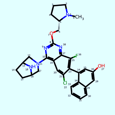 CN1CCC[C@H]1COc1nc(N2CC3CCC(C2)N3)c2cc(Cl)c(-c3cc(O)cc4ccccc34)c(F)c2n1